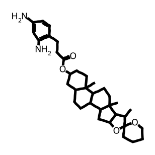 CC1C2C(CC3C4CCC5CC(OC(=O)CCc6ccc(N)cc6N)CCC5(C)C4CCC32C)OC12CCCCO2